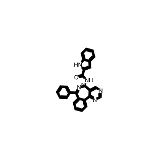 O=C(N[C@H]1N=C(c2ccccc2)c2ccccc2-c2ncncc21)c1cc2ccccc2[nH]1